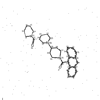 O=C(c1c2ccccc2cc2ccccc12)N1CCC(N2CCC[C@@H](C(=O)N3CCCCC3)C2)CC1